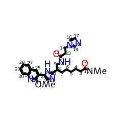 CNC(=O)CCCCCC(CNC(=O)CCn1ccnc1)c1ncc(-c2cc3ccccc3nc2OC)[nH]1